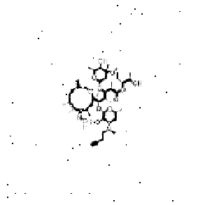 C#CCCN(C)[C@H]1C[C@@H](C)O[C@@H](O[C@H]([C@@H](C)C(O[C@H]2C[C@@](C)(OC)[C@@H](O)[C@H](C)O2)[C@@H](C)C(=O)O[C@H](CC)[C@@H](C)O)[C@@]2(C)C[C@@H](C)/C(=N\O)[C@H](C)[C@H](C)CCC(=C)CO2)[C@@H]1O